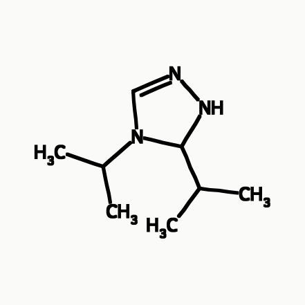 CC(C)C1NN=CN1C(C)C